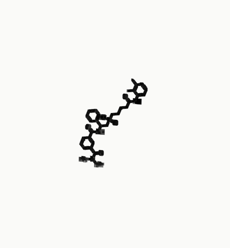 CCCN(CCC)C(=O)c1cccc(C(=O)NC(CP(=O)(O)CCCCC(=O)Nc2cccc(C)c2C)c2ccccc2)c1